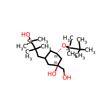 CC(C)(CC1C[C@H](O[Si](C)(C)C(C)(C)C)C[C@](O)(CO)C1)[Si](C)(C)O